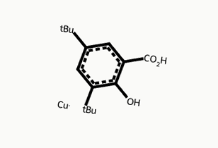 CC(C)(C)c1cc(C(=O)O)c(O)c(C(C)(C)C)c1.[Cu]